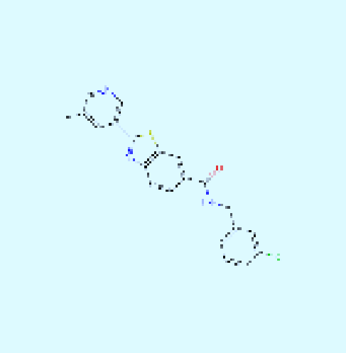 Cc1cncc(-c2nc3ccc(C(=O)NCc4cccc(Cl)c4)cc3s2)c1